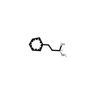 N[C@@H](O)CCc1cc[c]cc1